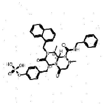 C[C@H]1[C@H]2N(C(=O)CN(C)N2C(=O)NCc2ccccc2)[C@@H](Cc2ccc(OP(=O)(O)O)cc2)C(=O)N1Cc1cccc2ccccc12